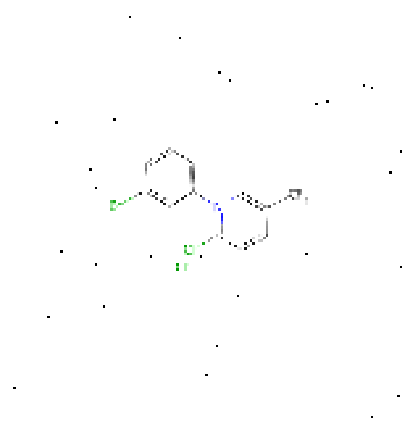 FC(F)(F)c1ccc(Cl)[n+](-c2cccc(Br)c2)c1.[Cl-]